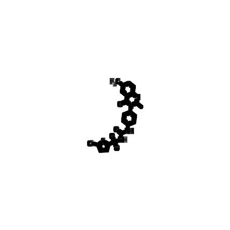 Cc1nc2ccc(C(F)(F)F)cc2c(=O)n1-c1ccc(NC(=O)NS(=O)(=O)c2ccc(Cl)s2)cc1